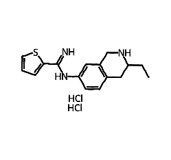 CCC1Cc2ccc(NC(=N)c3cccs3)cc2CN1.Cl.Cl